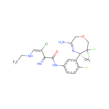 C[C@]1(c2cc(NC(=O)C(=N)/C(Cl)=C\NCC(F)(F)F)ccc2F)N=C(N)COCC1(F)F